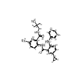 CCc1ccc(NC(=O)c2nc(C3CC3)cnc2Nc2cncnc2)c(C(=O)NCC(C)(C)O)n1